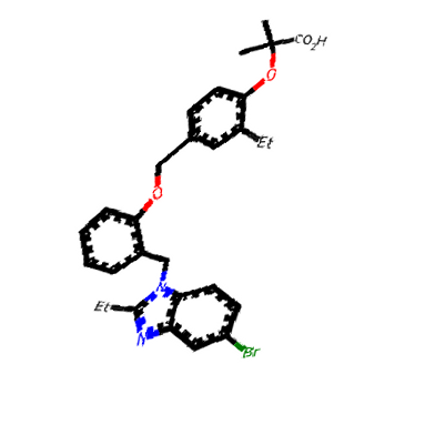 CCc1cc(COc2ccccc2Cn2c(CC)nc3cc(Br)ccc32)ccc1OC(C)(C)C(=O)O